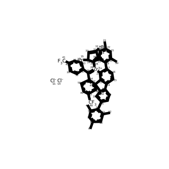 Cc1cc(C)c(-c2ccc3c(c2)Cc2c-3ccc(-c3c(C)cc(C)cc3C)[c]2[Zr+2]([C]2=CC(C(C)(C)C)=CC2C(C)C)=[C](c2ccc(C(F)(F)F)cc2)c2ccc(C(F)(F)F)cc2)c(C)c1.[Cl-].[Cl-]